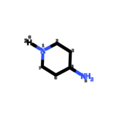 [2H]N1CCC(N)CC1